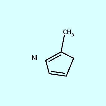 CC1=CC=CC1.[Ni]